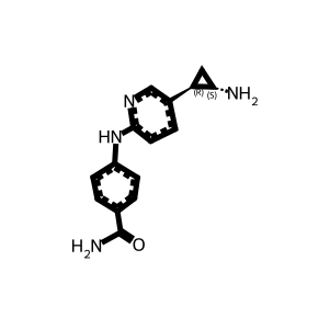 NC(=O)c1ccc(Nc2ccc([C@H]3C[C@@H]3N)cn2)cc1